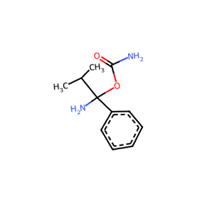 CC(C)C(N)(OC(N)=O)c1ccccc1